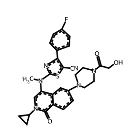 CN(c1nc(-c2ccc(F)cc2)c(C#N)s1)c1cn(C2CC2)c(=O)c2ccc(N3CCN(C(=O)CO)CC3)cc12